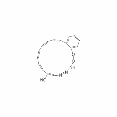 N#CC1=CN=NNOOc2ccccc2C=CC=CC=CC=C1